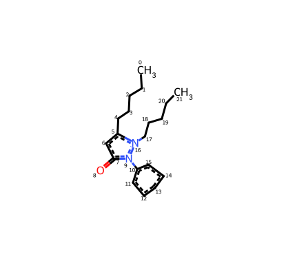 CCCCCc1cc(=O)n(-c2ccccc2)n1CCCCC